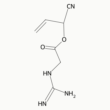 C=CC(C#N)OC(=O)CNC(=N)N